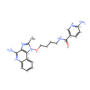 CCCCc1nc2c(N)nc3ccccc3c2n1OCCCCNC(=O)c1ccc(N)nc1